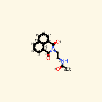 CCC(=O)NCCN1C(=O)c2cccc3cccc(c23)C1=O